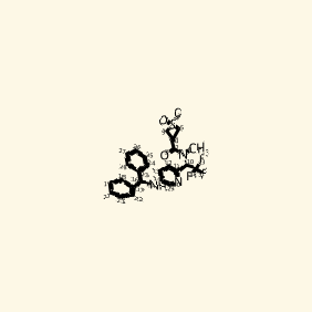 CN(C(=O)C1CS(=O)(=O)C1)[C@@H](c1ccc(NC(c2ccccc2)c2ccccc2)cn1)C(F)(F)F